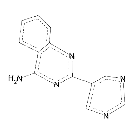 Nc1nc(-c2cncnc2)nc2ccccc12